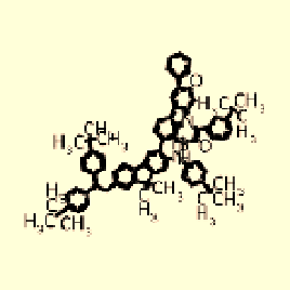 CC(C)(C)c1ccc(Nc2cc3c(cc2-c2ccc4c5cc6c(cc5n5c4c2Bc2oc4ccc(C(C)(C)C)cc4c2-5)oc2ccccc26)-c2ccc(CC(c4ccc(C(C)(C)C)cc4)c4ccc(C(C)(C)C)cc4)cc2C3(C)C)cc1